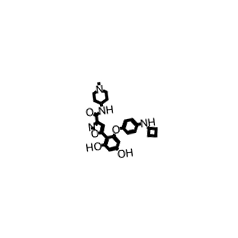 CN1CCC(NC(=O)c2cc(-c3c(O)cc(O)cc3Oc3ccc(NC4CCC4)cc3)on2)CC1